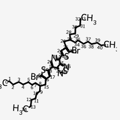 CCCCCCCCC(CCCCCC)Cc1cc(-c2cnc(-c3cc(CC(CCCCCC)CCCCCCCC)c(Br)s3)c3nsnc23)sc1Br